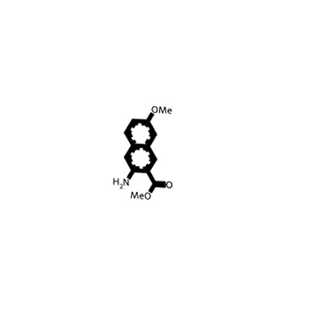 COC(=O)c1cc2cc(OC)ccc2cc1N